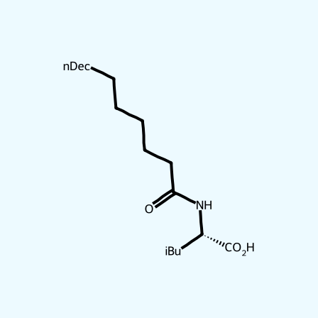 CCCCCCCCCCCCCCCC(=O)N[C@H](C(=O)O)C(C)CC